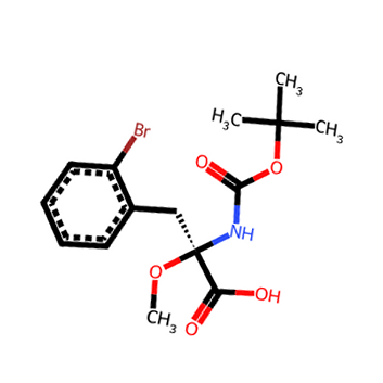 CO[C@@](Cc1ccccc1Br)(NC(=O)OC(C)(C)C)C(=O)O